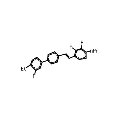 CCCc1ccc(/C=C/c2ccc(-c3ccc(CC)c(F)c3)cc2)c(F)c1F